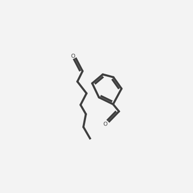 CCCCCCC=O.O=Cc1ccccc1